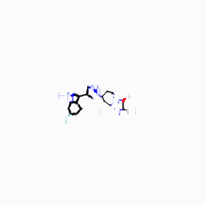 CC(N)C(=O)N1CCC(n2cc(-c3c[nH]c4cc(F)ccc34)cn2)CC1